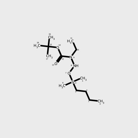 CCCC[Si](C)(C)ONN(CC)C(=O)OC(C)(C)C